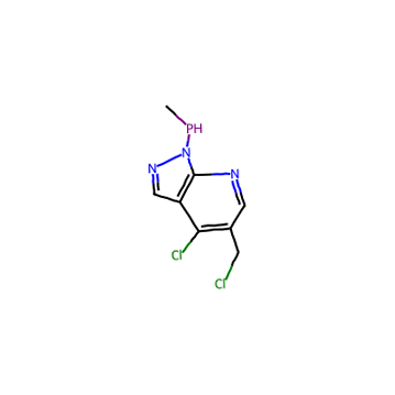 CPn1ncc2c(Cl)c(CCl)cnc21